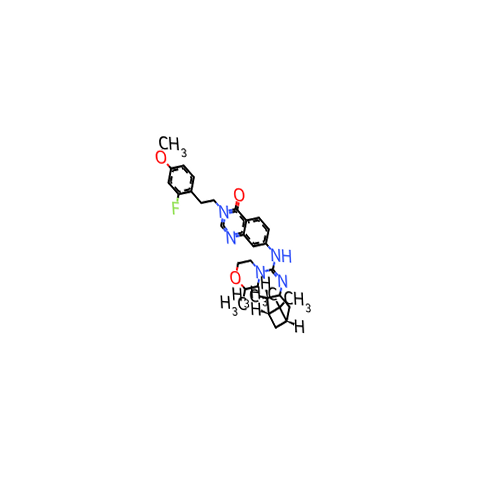 COc1ccc(CCn2cnc3cc(N/C(=N/C4C[C@@H]5C[C@H]([C@@H]4C)C5(C)C)N4CCOC(C)C4)ccc3c2=O)c(F)c1